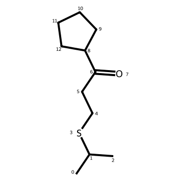 CC(C)SCCC(=O)C1CCCC1